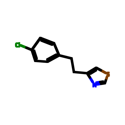 Clc1ccc(CCc2cscn2)cc1